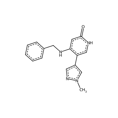 Cn1cc(-c2c[nH]c(=O)cc2NCc2ccccc2)cn1